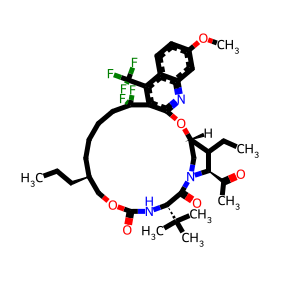 CCC[C@H]1CCCCC(F)(F)c2c(nc3cc(OC)ccc3c2C(F)(F)F)O[C@H]2CN(C(=O)[C@H](C(C)(C)C)NC(=O)OC1)[C@H](C(C)=O)C2CC